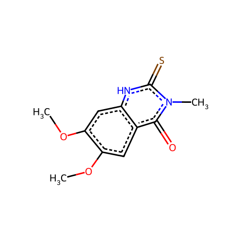 COc1cc2[nH]c(=S)n(C)c(=O)c2cc1OC